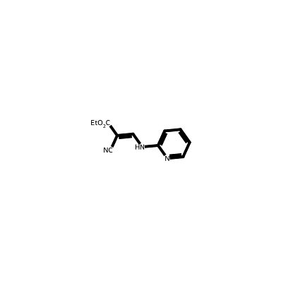 CCOC(=O)C(C#N)=CNc1ccccn1